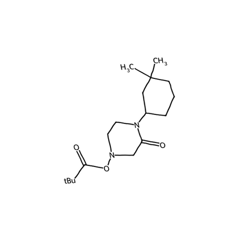 CC1(C)CCCC(N2CCN(OC(=O)C(C)(C)C)CC2=O)C1